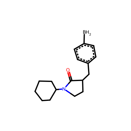 Bc1ccc(CC2CCN(C3CCCCC3)C2=O)cc1